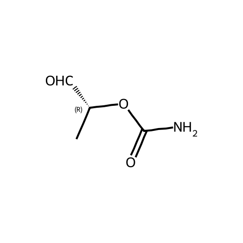 C[C@H](C=O)OC(N)=O